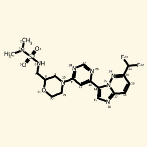 CN(C)S(=O)(=O)NCC1CN(c2cc(-c3cnc4ccc(C(F)F)nn34)ncn2)CCO1